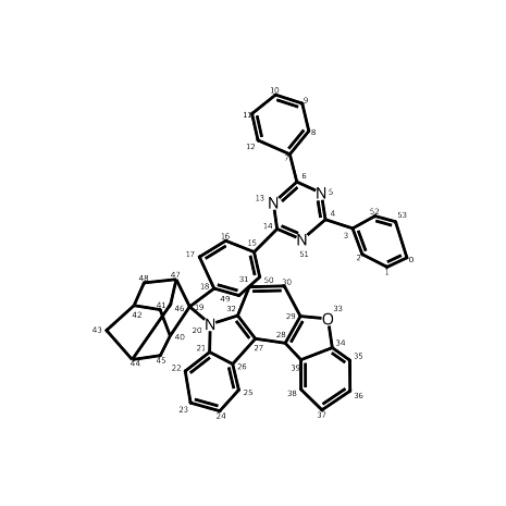 c1ccc(-c2nc(-c3ccccc3)nc(-c3ccc(C4(n5c6ccccc6c6c7c(ccc65)oc5ccccc57)C5CC6CC(C5)CC4C6)cc3)n2)cc1